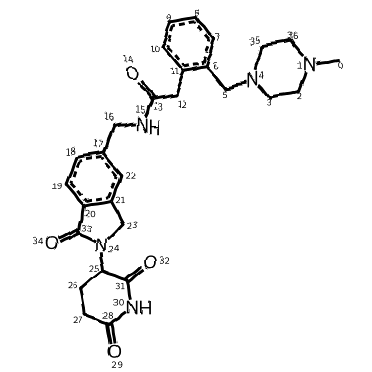 CN1CCN(Cc2ccccc2CC(=O)NCc2ccc3c(c2)CN(C2CCC(=O)NC2=O)C3=O)CC1